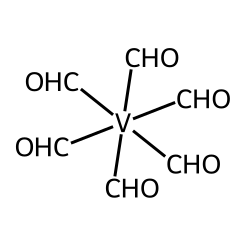 O=[CH][V]([CH]=O)([CH]=O)([CH]=O)([CH]=O)[CH]=O